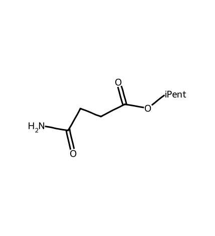 CCCC(C)OC(=O)CCC(N)=O